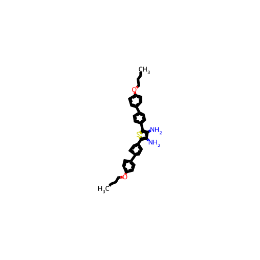 CCCCOc1ccc(-c2ccc(-c3sc(-c4ccc(-c5ccc(OCCCC)cc5)cc4)c(N)c3N)cc2)cc1